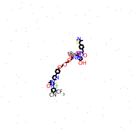 Cc1ncsc1-c1ccc(CNC(=O)[C@@H]2C[C@@H](O)CN2C(=O)[C@@H](NC(=O)COCCOCCOc2ccc(-c3ccc(N4C(=S)N(c5ccc(C#N)c(C(F)(F)F)c5F)C(=O)C4(C)C)cn3)cc2)C(C)(C)C)cc1